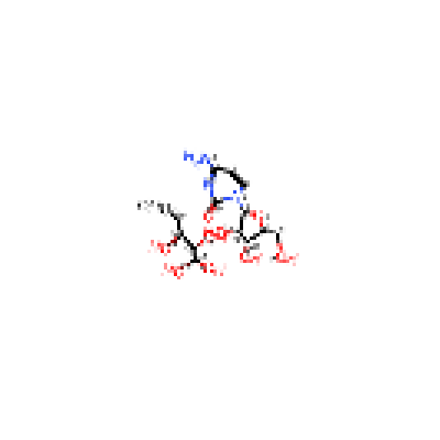 Nc1ccn([C@@H]2O[C@H](CO)[C@@H](O)[C@H]2O)c(=O)n1.O=CCC(O)C(O)C(O)O